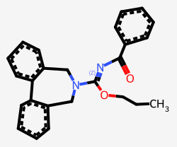 CCCO/C(=N\C(=O)c1ccccc1)N1Cc2ccccc2-c2ccccc2C1